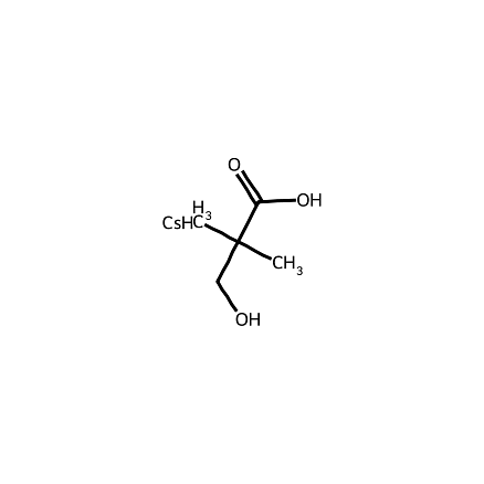 CC(C)(CO)C(=O)O.[CsH]